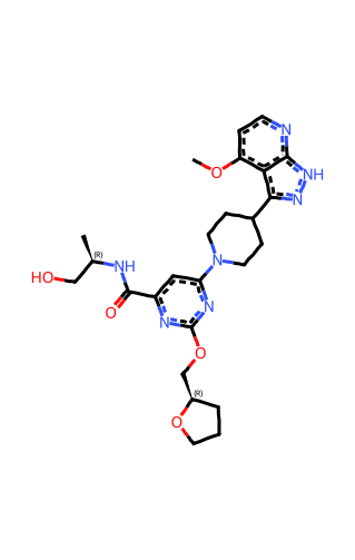 COc1ccnc2[nH]nc(C3CCN(c4cc(C(=O)N[C@H](C)CO)nc(OC[C@H]5CCCO5)n4)CC3)c12